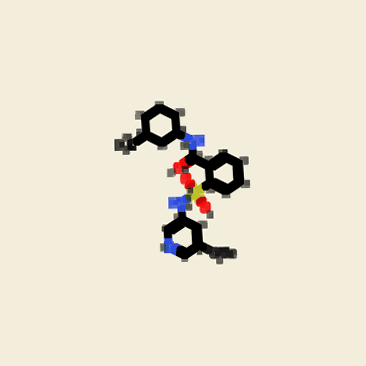 COc1cncc(NS(=O)(=O)c2ccccc2C(=O)NC2CCCC(C)C2)c1